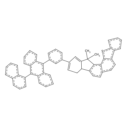 CC1(C)C2=CC(c3cccc(-c4c5ccccc5c(-c5cccc6ccccc56)c5ccccc45)c3)=CCC2c2ccc3ccc4c5ccccc5sc4c3c21